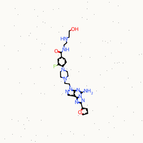 Nc1nc2c(cnn2CCN2CCN(c3ccc(C(=O)NCCNCCO)cc3F)CC2)c2nc(-c3ccco3)nn12